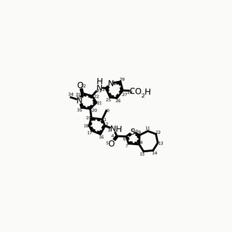 Cc1c(NC(=O)c2cc3c(s2)CCCCC3)cccc1-c1cc(Nc2ccc(C(=O)O)cn2)c(=O)n(C)c1